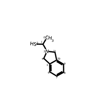 CC(S)N1Cc2ccccc2C1